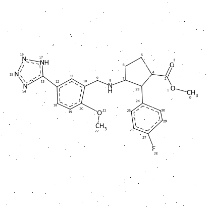 COC(=O)C1CCC(NCc2cc(-c3nnn[nH]3)ccc2OC)C1c1ccc(F)cc1